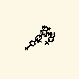 Cc1ccc(C(C)(C)C)cc1Nc1nc(N2CCN(c3ccc(C#N)cc3)C(C)(C)C2)nc2ncn(C)c12